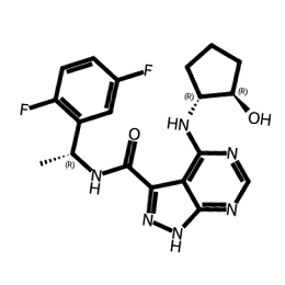 C[C@@H](NC(=O)c1n[nH]c2ncnc(N[C@@H]3CCC[C@H]3O)c12)c1cc(F)ccc1F